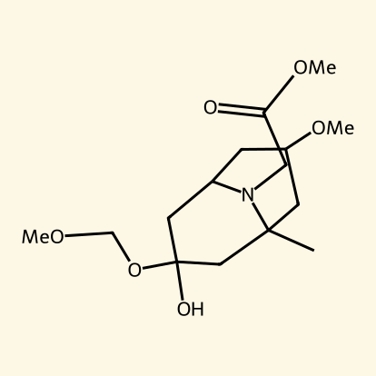 COCOC1(O)CC2CC(OC)CC(C)(C1)N2CC(=O)OC